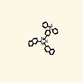 S=P(c1ccccc1)(c1ccccc1)c1ccc(-c2nc(-c3ccc4ccccc4c3)nc(-c3ccc4ccccc4c3)n2)cc1